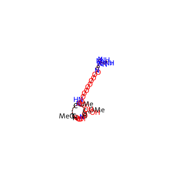 CO[C@H]1C[C@@H]2CC[C@@H](C)[C@@](O)(O2)C(=O)C(=O)N2CCCC[C@H]2C(=O)O[C@H]([C@H](C)C[C@@H]2CC[C@@H](O)[C@H](OC)C2)C[C@@H](O)[C@H](C)/C=C(\C)[C@@H](O)[C@@H](OC)C(=NOCC(=O)NCCOCCOCCOCCOCCOCCOCCOCCOCCC(=O)N2CCc3cc(Cn4nc(-c5cnc6[nH]ccc6c5)c5c(N)ncnc54)ccc3C2)[C@H](C)C[C@H](C)/C=C/C=C/C=C/1C